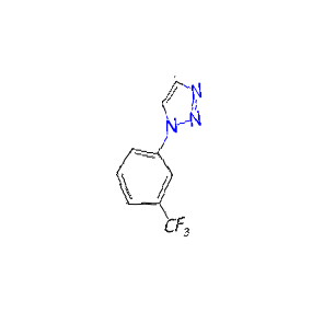 FC(F)(F)c1cccc(-n2c[c]nn2)c1